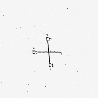 C[C]C(C)(CC)CC